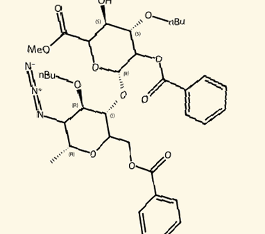 CCCCO[C@@H]1C(OC(=O)c2ccccc2)[C@H](O[C@@H]2C(COC(=O)c3ccccc3)O[C@H](C)C(N=[N+]=[N-])[C@H]2OCCCC)OC(C(=O)OC)[C@H]1O